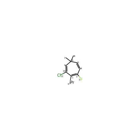 CC(C)C1=C(F)C=CC(C)(C)C=C1Cl